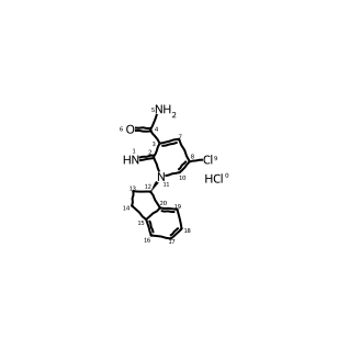 Cl.N=c1c(C(N)=O)cc(Cl)cn1[C@@H]1CCc2ccccc21